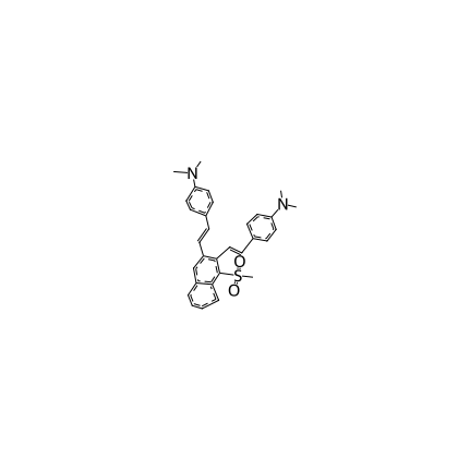 CN(C)c1ccc(C=Cc2cc3ccccc3c(S(C)(=O)=O)c2C=Cc2ccc(N(C)C)cc2)cc1